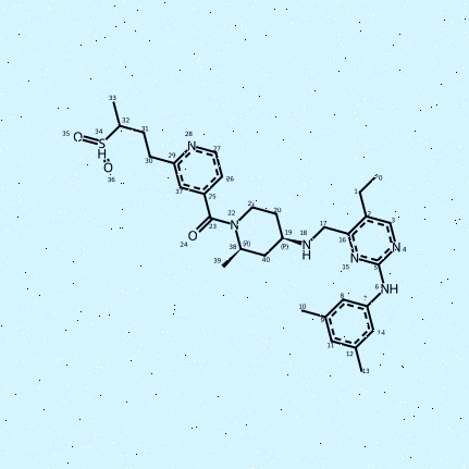 CCc1cnc(Nc2cc(C)cc(C)c2)nc1CN[C@@H]1CCN(C(=O)c2ccnc(CCC(C)[SH](=O)=O)c2)[C@H](C)C1